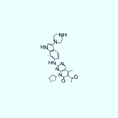 CC(=O)c1c(C)c2cnc(Nc3ccc4c(N5CCNCC5)c[nH]c4c3)nc2n(C2CCCC2)c1=O